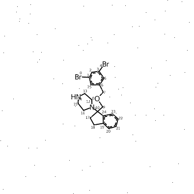 Brc1cc(Br)cc(COCC2(N3CCNCC3)CCc3ccccc32)c1